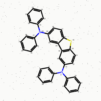 c1ccc(N(c2ccccc2)c2ccc3sc4ccc(N(c5ccccc5)c5ccccc5)cc4c3c2)cc1